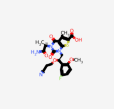 COc1ccc(F)cc1[C@H](Cn1c(=O)n([C@@H](C)C(N)=O)c(=O)c2c(C)c(C(=O)O)sc21)OCCC#N